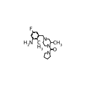 Cc1c(N)cc(F)cc1CN1CCN(C(=O)N2CCCC2)C(C)C1